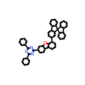 c1ccc(-c2nc(-c3ccccc3)nc(-c3ccc4c(c3)oc3c(-c5ccc6c(c5)C5(c7ccccc7-c7ccccc75)c5ccccc5-6)cccc34)n2)cc1